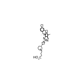 Cc1nn([C@H](C)c2ccc(Cl)cc2Cl)c2nc(N3CC([C@@H]4CCCN(CCCC(=O)O)C4)C3)ncc12